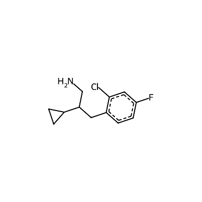 NCC(Cc1ccc(F)cc1Cl)C1CC1